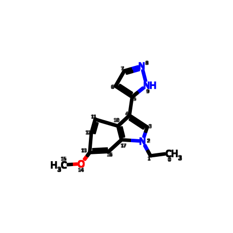 CCn1cc(-c2ccn[nH]2)c2ccc(OC)cc21